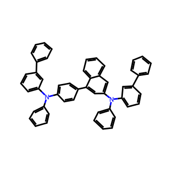 c1ccc(-c2cccc(N(c3ccccc3)c3ccc(-c4cc(N(c5ccccc5)c5cccc(-c6ccccc6)c5)cc5ccccc45)cc3)c2)cc1